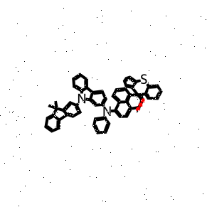 CC1(C)c2ccccc2-c2ccc(-n3c4ccccc4c4ccc(N(c5ccccc5)c5ccc6c7c(cccc57)C5(c7ccccc7Sc7ccccc75)c5ccccc5-6)cc43)cc21